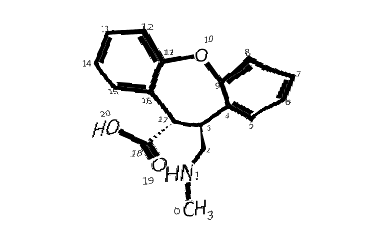 CNC[C@@H]1c2ccccc2Oc2ccccc2[C@H]1C(=O)O